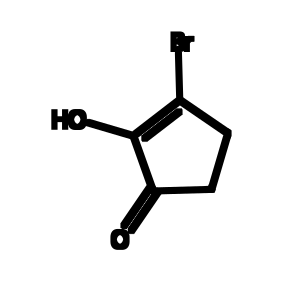 O=C1CCC(Br)=C1O